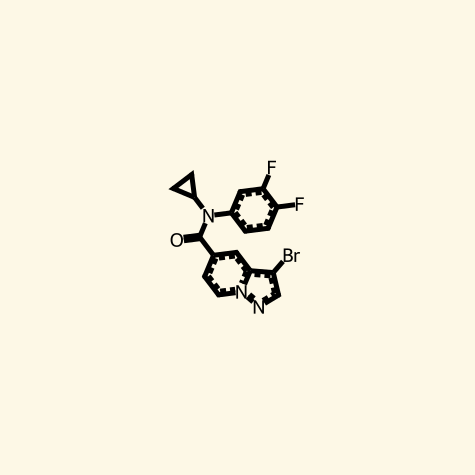 O=C(c1ccn2ncc(Br)c2c1)N(c1ccc(F)c(F)c1)C1CC1